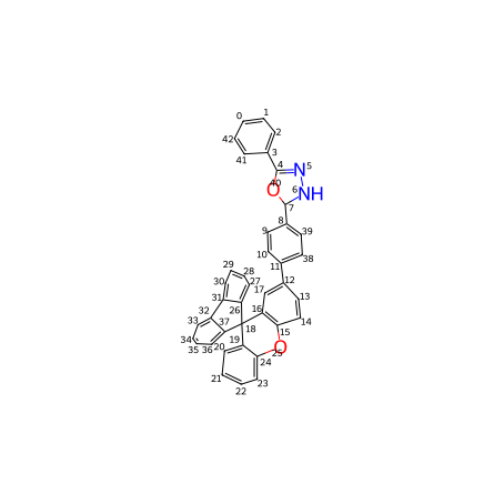 c1ccc(C2=NNC(c3ccc(-c4ccc5c(c4)C4(c6ccccc6O5)c5ccccc5-c5ccccc54)cc3)O2)cc1